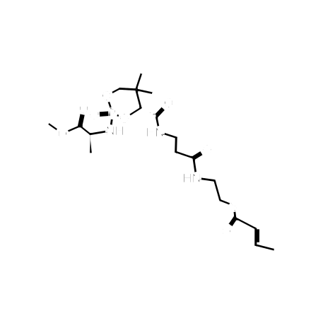 C/C=C/C(=O)SCCNC(=O)CCNC(=O)[C@@H]1OP(=O)(N[C@@H](C)C(=O)OC)OCC1(C)C